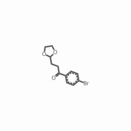 O=C(CCC1OCCO1)c1ccc(Br)cc1